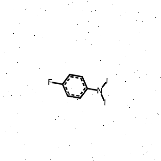 Fc1ccc(N(I)I)cc1